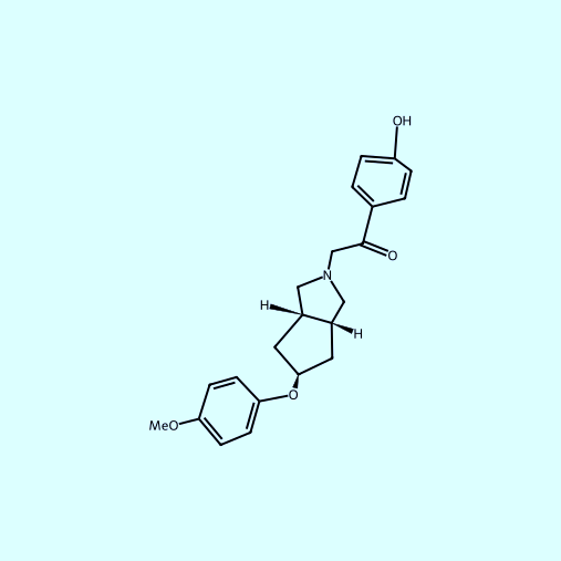 COc1ccc(O[C@H]2C[C@@H]3CN(CC(=O)c4ccc(O)cc4)C[C@@H]3C2)cc1